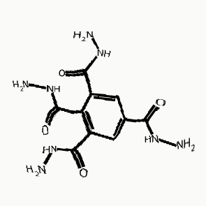 NNC(=O)c1cc(C(=O)NN)c(C(=O)NN)c(C(=O)NN)c1